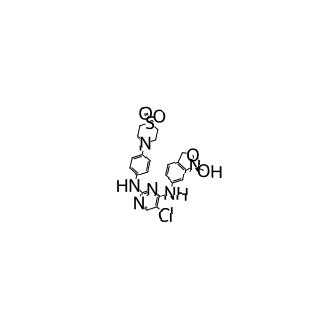 O=S1(=O)CCN(c2ccc(Nc3ncc(Cl)c(Nc4ccc5c(c4)N(O)OC5)n3)cc2)CC1